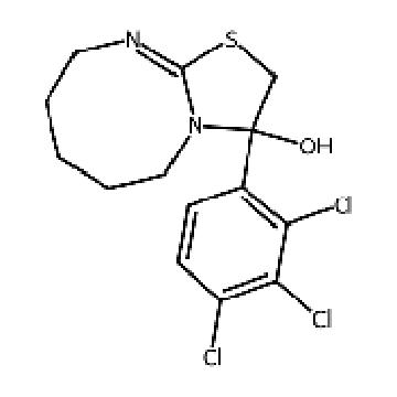 OC1(c2ccc(Cl)c(Cl)c2Cl)CS/C2=N/CCCCCN21